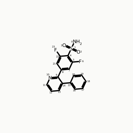 NS(=O)(=O)c1c(F)cc(-c2ncccc2-c2ccccc2)cc1F